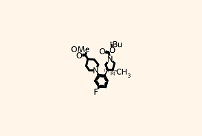 COC(=O)C1CCN(c2cc(F)ccc2[C@H]2CN(C(=O)OC(C)(C)C)C[C@@H]2C)CC1